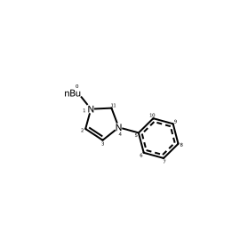 CCCCN1C=CN(c2ccccc2)C1